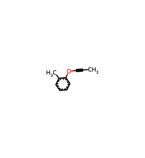 CC#COc1ccccc1C